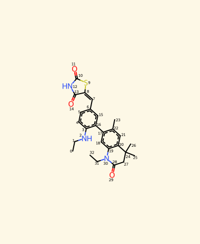 CCNc1ccc(/C=C2/SC(=O)NC2=O)cc1-c1cc2c(cc1C)C(C)(C)CC(=O)N2CC